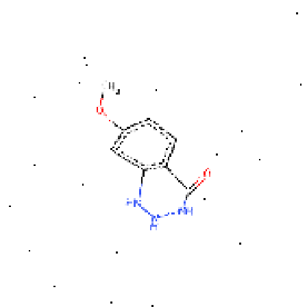 COc1ccc2c(c1)NNNC2=O